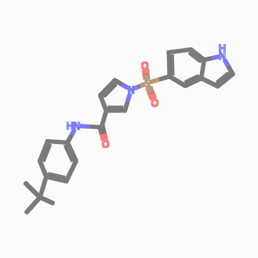 CC(C)(C)c1ccc(NC(=O)c2ccn(S(=O)(=O)c3ccc4[nH]ccc4c3)c2)cc1